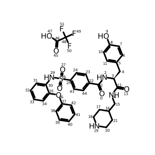 O=C(N[C@@H](Cc1ccc(O)cc1)C(=O)NCC1CCNCC1)c1ccc(S(=O)(=O)Nc2ccccc2Oc2ccccc2)cc1.O=C(O)C(F)(F)F